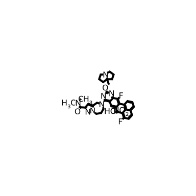 C#Cc1c(F)ccc2cccc(-c3c([N+](=O)[O-])cc4c(N5CCCn6nc(C(=O)N(C)C)cc6C5)nc(OCC56CCCN5CCC6)nc4c3F)c12